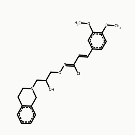 COc1ccc(/C=C/C(Cl)=N/OCC(O)CN2CCc3ccccc3C2)cc1OC